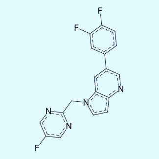 Fc1cnc(Cn2ccc3ncc(-c4ccc(F)c(F)c4)cc32)nc1